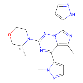 Cc1nc(-c2ccn[nH]2)n2nc(N3CCOC[C@H]3C)nc(-c3ccnn3C)c12